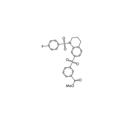 COC(=O)c1cccc(S(=O)(=O)c2ccc3c(c2)N(S(=O)(=O)c2ccc(F)cc2)CCC3)c1